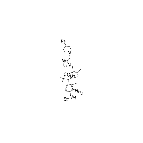 CCNc1ccc(C(c2ccc(C)c(Cn3ccnc3CN3CCC(CC)CC3)c2)C(C)(C)C(=O)O)c(C)c1N